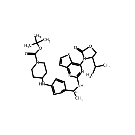 CC(C)C1COC(=O)N1c1nc(N[C@@H](C)c2ccc(NC3CCN(C(=O)OC(C)(C)C)CC3)cc2)nc2ccsc12